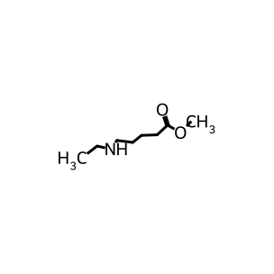 CCNCCCCC(=O)OC